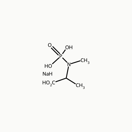 CC(C(=O)O)N(C)P(=O)(O)O.[NaH]